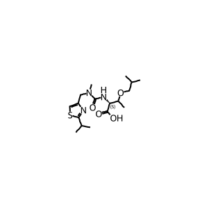 CC(C)COC(C)[C@H](NC(=O)N(C)Cc1csc(C(C)C)n1)C(=O)O